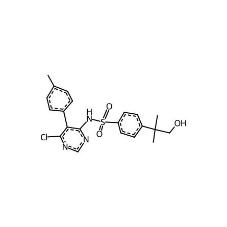 Cc1ccc(-c2c(Cl)ncnc2NS(=O)(=O)c2ccc(C(C)(C)CO)cc2)cc1